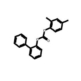 Cc1ccc(OC(=O)Oc2ccccc2-c2ccccc2)c(C)c1